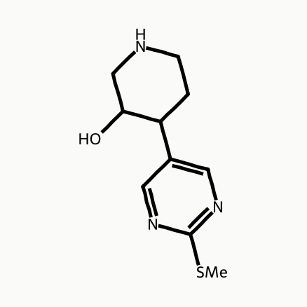 CSc1ncc(C2CCNCC2O)cn1